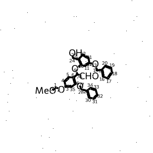 COCOc1ccc(C(C=O)Oc2cc(OCc3ccccc3)ccc2CO)c(OCc2ccccc2)c1